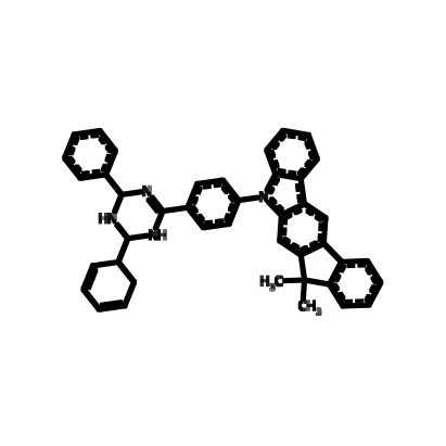 CC1(C)c2ccccc2-c2cc3c4ccccc4n(-c4ccc(C5=NC(c6ccccc6)NC(C6C=CC=CC6)N5)cc4)c3cc21